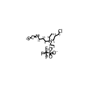 CC[N+](CC)(CCCCl)CCCN=C=S.O=S(=O)([O-])C(F)(F)F